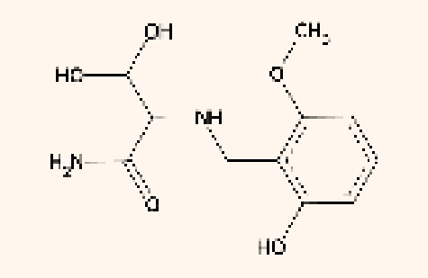 COc1cccc(O)c1CN[C@H](C(N)=O)C(O)O